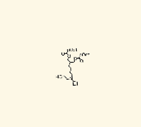 CCCCCCCCC(=O)OCC(CCCCN(CCO)C1CCC1)COC(=O)CCCCCCCC